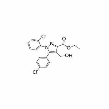 CCOC(=O)c1nn(-c2ccccc2Cl)c(-c2ccc(Cl)cc2)c1CO